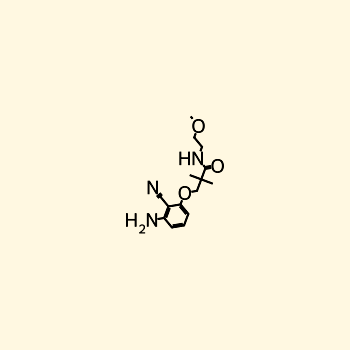 COCCNC(=O)C(C)(C)COc1cccc(N)c1C#N